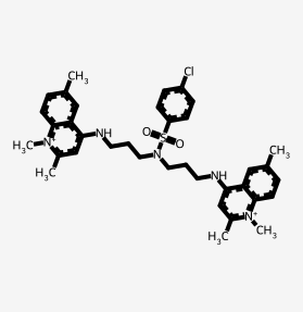 Cc1ccc2c(c1)c(NCCCN(CCCNc1cc(C)[n+](C)c3ccc(C)cc13)S(=O)(=O)c1ccc(Cl)cc1)cc(C)[n+]2C